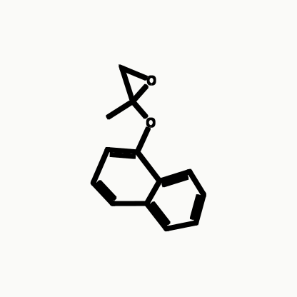 CC1(Oc2cccc3ccccc23)CO1